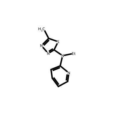 CCN(c1ccccn1)c1nnc(C)s1